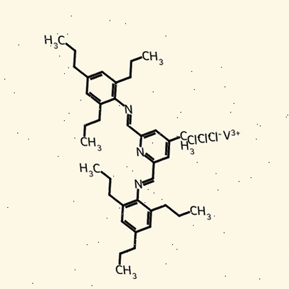 CCCc1cc(CCC)c(N=Cc2cc(C)cc(C=Nc3c(CCC)cc(CCC)cc3CCC)n2)c(CCC)c1.[Cl-].[Cl-].[Cl-].[V+3]